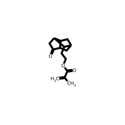 C=C(C)C(=O)OCCC1C2CC3C(=O)CC1C3C2